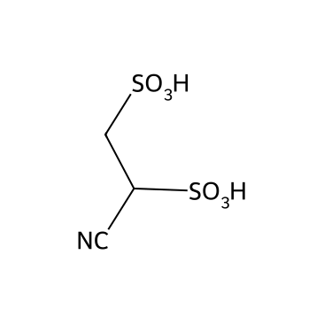 N#CC(CS(=O)(=O)O)S(=O)(=O)O